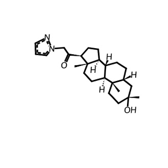 C[C@@]1(O)CC[C@@]2(C)[C@H](CC[C@@H]3[C@@H]2CC[C@]2(C)[C@@H](C(=O)Cn4cccn4)CC[C@@H]32)C1